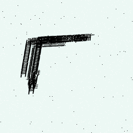 B.O.O.O.O.O.O.O.O.O.O.O.O.O.O.O.O.O.O.O.O.O.O.O.O.O.O.O.O.O.O.O.O.O.O.O.O.O.O.O.O.O.[H-].[H-].[H-].[H-].[H-].[H-].[K+].[K+].[K+].[K+].[K+].[K+].[V].[W].[W].[W].[W].[W].[W].[W].[W].[W].[W].[W]